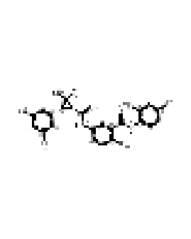 O=C(Nc1ccc(F)cc1F)c1cc(NC(=O)[C@H]2[C@H](c3cc(Cl)cc(Cl)c3)C2(Cl)Cl)ccc1F